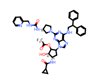 O=C(NCc1ccccn1)N[C@@H]1CCN(c2nc(NCC(c3ccccc3)c3ccccc3)c3ncn(C4C[C@H](NC(=O)C5CC5)[C@@H](O)C4OC(=O)C(F)(F)F)c3n2)C1